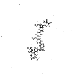 C[C@H](C1CCN(c2ncc(Cl)c(Nc3ccc4c(c3)c3c(c(=O)n4C)OCC(F)(F)[C@H](C4CC4)N3)n2)CC1)N1CCC(c2ccc3c(C4CCC(=O)NC4=O)nn(C)c3c2)CC1